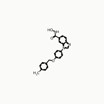 Cc1ccc(COc2ccc(-n3cnc4ccc(C(=O)NO)cc43)cc2)cc1